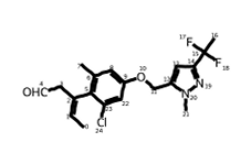 C/C=C(/CC=O)c1c(C)cc(OCc2cc(C(C)(F)F)nn2C)cc1Cl